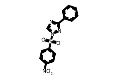 O=[N+]([O-])c1ccc(S(=O)(=O)n2cnc(-c3ccccc3)n2)cc1